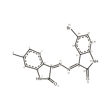 Cc1cnc2c(c1)NC(=O)/C2=N\N=C1\C(=O)Nc2ncc(Br)cc21